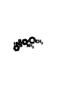 CN1CCCN(c2ccc(S(=O)(=O)Nc3ccccc3)cc2N)CC1